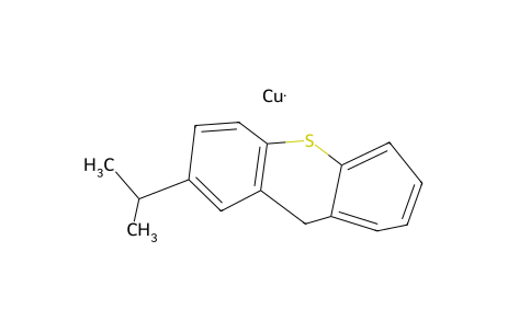 CC(C)c1ccc2c(c1)Cc1ccccc1S2.[Cu]